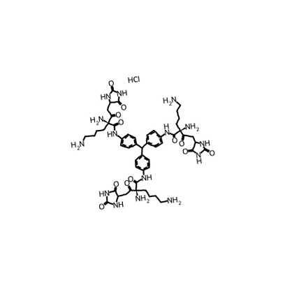 Cl.NCCCC[C@](N)(C(=O)CC1NC(=O)NC1=O)C(=O)Nc1ccc(C(c2ccc(NC(=O)[C@](N)(CCCCN)C(=O)CC3NC(=O)NC3=O)cc2)c2ccc(NC(=O)[C@](N)(CCCCN)C(=O)CC3NC(=O)NC3=O)cc2)cc1